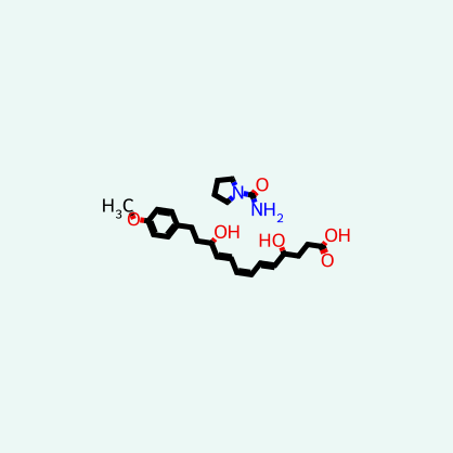 COc1ccc(CCC(O)/C=C/C=C\C=C\C(O)CCC(=O)O)cc1.NC(=O)N1CCCC1